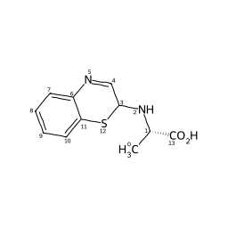 C[C@H](NC1C=Nc2ccccc2S1)C(=O)O